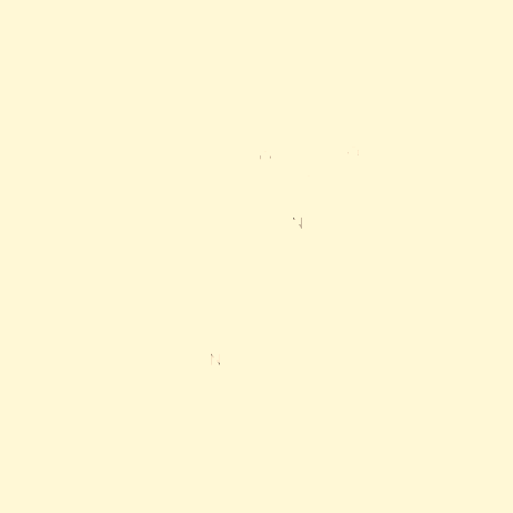 CN1C(=O)OCC1c1cccnc1